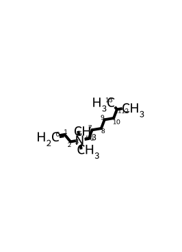 C=CC[N+](C)(C)CCCCCC(C)C